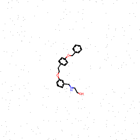 OCCNCc1cccc(OCCc2ccc(OCc3ccccc3)cc2)c1